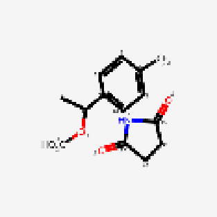 CC(OC(=O)O)c1ccc(C(F)(F)F)cc1.O=C1CCC(=O)N1